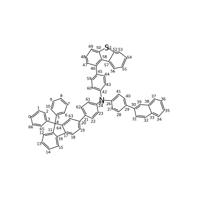 c1ccc(C2(c3ccccc3)c3ccccc3-c3ccc(-c4ccc(N(c5ccc(-c6ccc7ccccc7c6)cc5)c5ccc(-c6cccc7sc8ccccc8c67)cc5)cc4)cc32)cc1